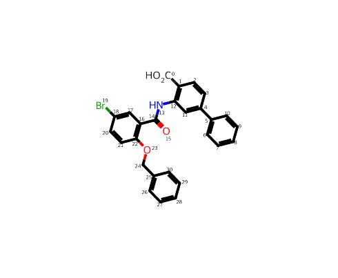 O=C(O)c1ccc(-c2ccccc2)cc1NC(=O)c1cc(Br)ccc1OCc1ccccc1